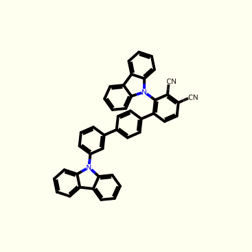 N#Cc1ccc(-c2ccc(-c3cccc(-n4c5ccccc5c5ccccc54)c3)cc2)c(-n2c3ccccc3c3ccccc32)c1C#N